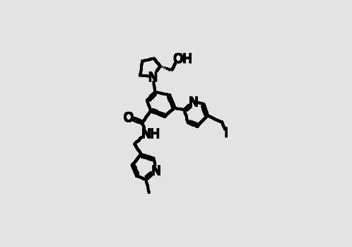 Cc1ccc(CNC(=O)c2cc(-c3ccc(CI)cn3)cc(N3CCC[C@@H]3CO)c2)cn1